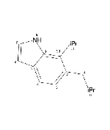 CC(C)Cc1ccc2cc[nH]c2c1C(C)C